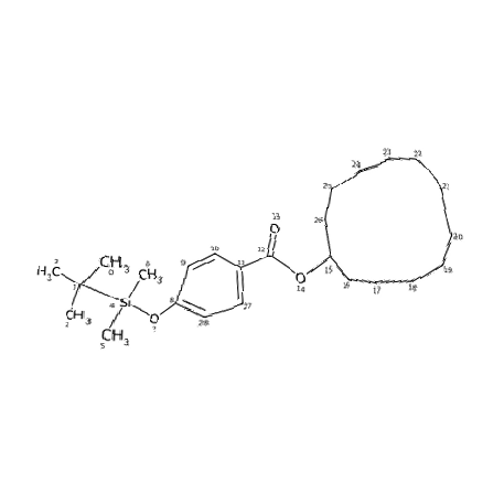 CC(C)(C)[Si](C)(C)Oc1ccc(C(=O)OC2CCCCCCCCCCC2)cc1